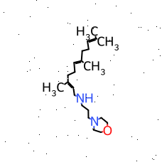 CC(C)=CCC/C(C)=C/CC/C(C)=C/CNCCCN1CCOCC1